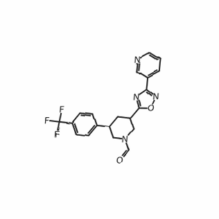 O=CN1CC(c2ccc(C(F)(F)F)cc2)CC(c2nc(-c3cccnc3)no2)C1